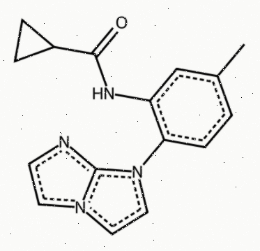 Cc1ccc(-n2ccn3ccnc23)c(NC(=O)C2CC2)c1